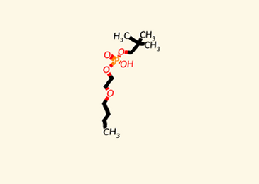 CCCCOCCOP(=O)(O)OCC(C)(C)C